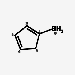 [BiH2][C]1=CC=CC1